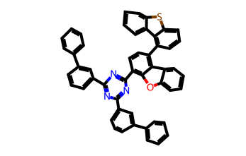 c1ccc(-c2cccc(-c3nc(-c4cccc(-c5ccccc5)c4)nc(-c4ccc(-c5cccc6sc7ccccc7c56)c5c4oc4ccccc45)n3)c2)cc1